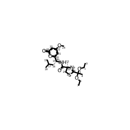 CCOC(C)(OCC)C1=N[C@](C)(C(=O)N[C@H](CC(C)C)c2cc(OC)cc(=O)o2)CS1